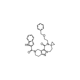 O=C(c1cc2ccccc2[nH]1)N1CCc2nn3c(c2C1)C(=O)N(CCOCc1ccccc1)C1(CC3)CC1